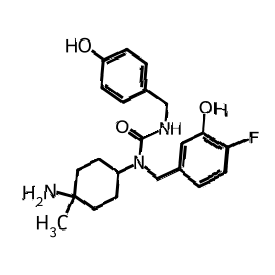 CC1(N)CCC(N(Cc2ccc(F)c(O)c2)C(=O)NCc2ccc(O)cc2)CC1